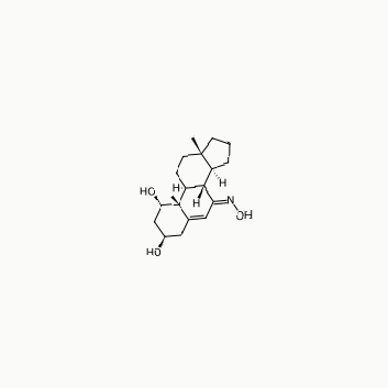 C[C@@]12CCC[C@H]1[C@@H]1C(=NO)C=C3C[C@@H](O)C[C@@H](O)[C@]3(C)[C@H]1CC2